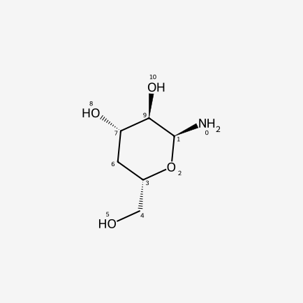 N[C@H]1O[C@H](CO)C[C@H](O)[C@H]1O